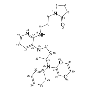 O=C1CCCN1CCCNc1ncccc1N1CSC(N(C2=CC=CCC2)C2=COC=CO2)C1